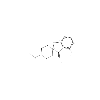 C=C1c2c(Br)cccc2CC12CCC(CN)CC2.Cl